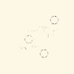 NC(=O)c1cnc(NC2CNC(C(C=O)S(=O)(=O)Oc3ccccc3)C2)nc1NCc1ccccc1